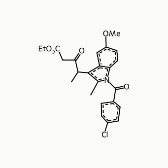 CCOC(=O)CC(=O)C(C)c1c(C)n(C(=O)c2ccc(Cl)cc2)c2ccc(OC)cc12